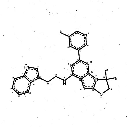 Cc1cncc(-c2nc(NCCc3c[nH]c4ccccc34)c3nc4n(c3n2)C(C)(C)CO4)c1